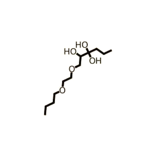 CCCCOCCOCC(O)C(O)(O)CCC